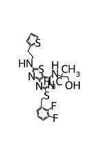 CC(C)(CO)Nc1nc(SCc2cccc(F)c2F)nc2nc(NCCc3cccs3)sc12